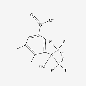 Cc1cc([N+](=O)[O-])cc(C(O)(C(F)(F)F)C(F)(F)F)c1C